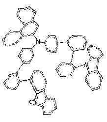 c1ccc(-c2ccccc2-n2c3ccccc3c3ccccc32)c(-c2ccc(N(c3ccc(-c4ccccc4-c4cccc5c4oc4ccccc45)cc3)c3cc4ccccc4c4ccccc34)cc2)c1